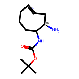 CC(C)(C)OC(=O)NC1CCC/C=C/C[C@H]1N